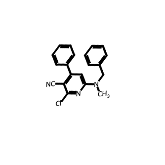 CN(Cc1ccccc1)c1cc(-c2ccccc2)c(C#N)c(Cl)n1